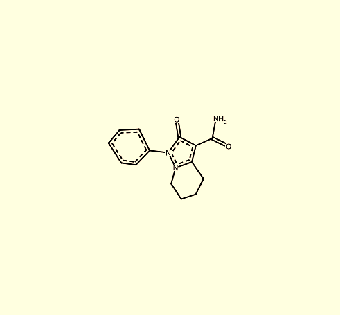 NC(=O)c1c2n(n(-c3ccccc3)c1=O)CCCC2